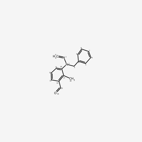 C=NN(Cc1ccccc1)c1cccc(C=O)c1C